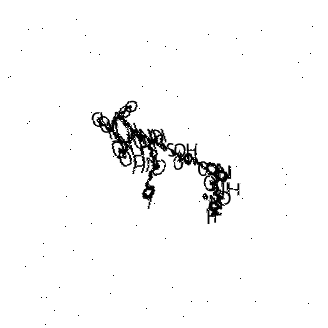 C#C[C@H]1CC(F)(F)CN1C(=O)CNC(=O)c1ccnc2ccc(OCCCN3CCN(C(=O)[C@H](O)CSCCNC(=O)C(CSCCNC(=O)CCCc4ccc(I)cc4)NC(=O)CN4CCN(COC=O)CCN(COC=O)CCN(CC(=O)O)CC4)CC3)cc12